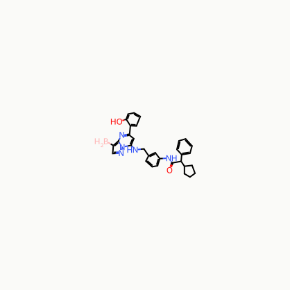 Bc1cnn2c(NCc3cccc(NC(=O)C(c4ccccc4)C4CCCC4)c3)cc(-c3ccccc3O)nc12